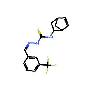 FC(F)(F)c1cccc(/C=N\NC(=S)NC2CC3C=CC2C3)c1